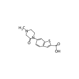 CN1CCN(c2ccc3cc(C(=O)O)sc3c2)C(=O)C1